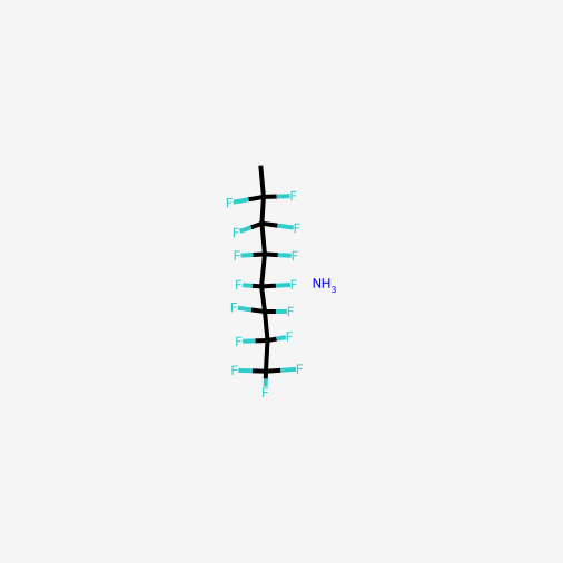 CC(F)(F)C(F)(F)C(F)(F)C(F)(F)C(F)(F)C(F)(F)C(F)(F)F.N